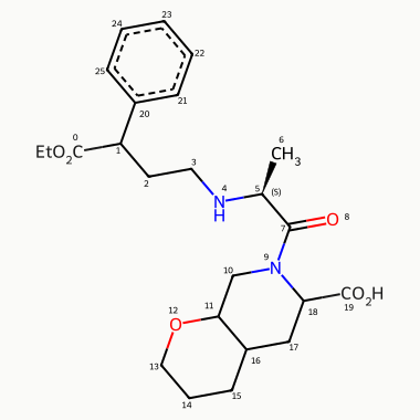 CCOC(=O)C(CCN[C@@H](C)C(=O)N1CC2OCCCC2CC1C(=O)O)c1ccccc1